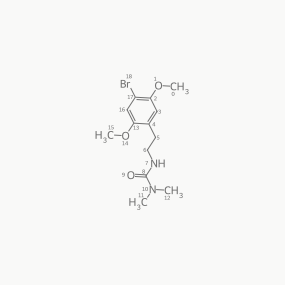 COc1cc(CCNC(=O)N(C)C)c(OC)cc1Br